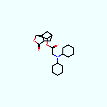 O=C(CN(C1CCCCC1)C1CCCCC1)OC1C2CC3C(=O)OC1C3C2